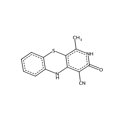 Cc1[nH]c(=O)c(C#N)c2c1Sc1ccccc1N2